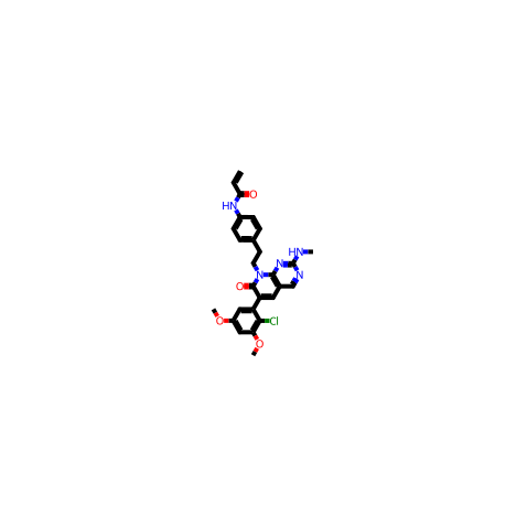 C=CC(=O)Nc1ccc(CCn2c(=O)c(-c3cc(OC)cc(OC)c3Cl)cc3cnc(NC)nc32)cc1